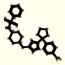 Cc1ccc(C2(c3noc(CN4CCC(NS(=O)(=O)c5ccccc5)CC4)n3)CCCC2)cc1